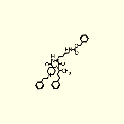 CC(CCc1ccccc1)N1C(=O)[C@H](CCCCNC(=O)OCc2ccccc2)NC(=O)C12CCN(CCc1ccccc1)CC2